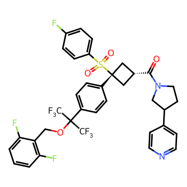 O=C([C@H]1C[C@@](c2ccc(C(OCc3c(F)cccc3F)(C(F)(F)F)C(F)(F)F)cc2)(S(=O)(=O)c2ccc(F)cc2)C1)N1CCC(c2ccncc2)C1